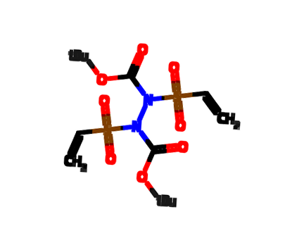 C=CS(=O)(=O)N(C(=O)OC(C)(C)C)N(C(=O)OC(C)(C)C)S(=O)(=O)C=C